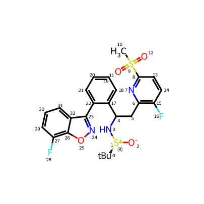 CC(C)(C)[S@+]([O-])NC(Cc1nc(S(C)(=O)=O)ccc1F)c1ccccc1-c1noc2c(F)cccc12